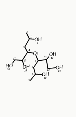 CC(O)CC(OC(CC(C)O)C(O)CO)C(O)CO